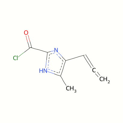 C=C=Cc1nc(C(=O)Cl)[nH]c1C